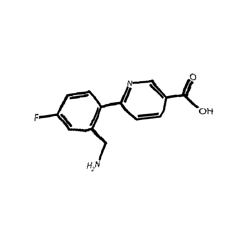 NCc1cc(F)ccc1-c1ccc(C(=O)O)cn1